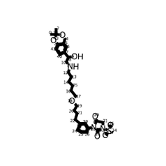 CC1(C)OCc2cc(C(O)CNCCCCCCOCCCCc3cccc(N4C(=O)CN(S(C)(=O)=O)C4=O)c3)ccc2O1